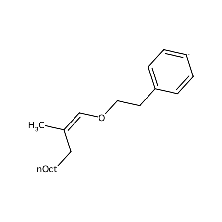 CCCCCCCCCC(C)=COCCc1cc[c]cc1